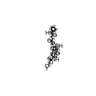 COCCOC(=O)Nc1ccn([C@@H]2O[C@H](COC(=O)CCC(=O)Nc3ccccc3)[C@@H](O)C2(F)F)c(=O)n1